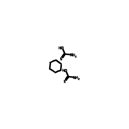 C1CCCCC1.NC(O)=S.NC(O)=S